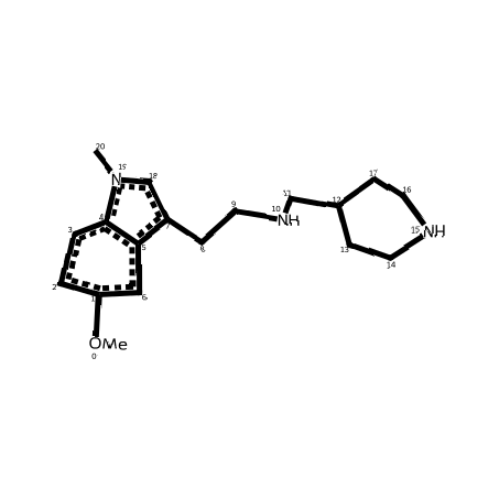 COc1ccc2c(c1)c(CCNCC1CCNCC1)cn2C